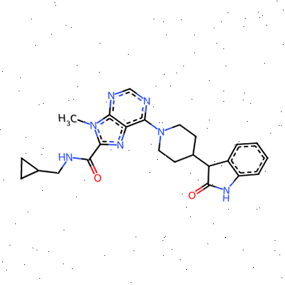 Cn1c(C(=O)NCC2CC2)nc2c(N3CCC(C4C(=O)Nc5ccccc54)CC3)ncnc21